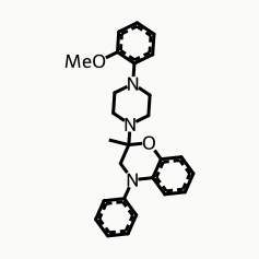 COc1ccccc1N1CCN(C2(C)CN(c3ccccc3)c3ccccc3O2)CC1